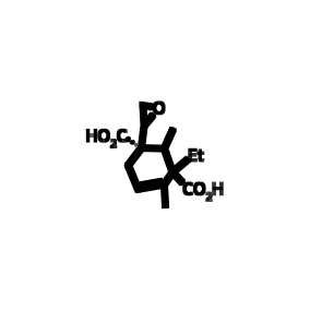 CCC1(C(=O)O)C(C)=CC[C@@](C(=O)O)(C2CO2)C1C